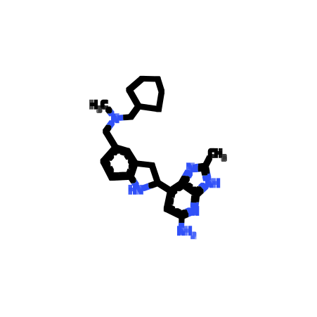 Cc1nc2c(C3Cc4cc(CN(C)CC5CCCCC5)ccc4N3)cc(N)nc2[nH]1